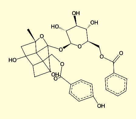 C[C@@]12CC3(O)C4C[C@@]5(O)C(O[C@@H]6O[C@H](COC(=O)c7ccccc7)[C@@H](O)[C@H](O)[C@H]6O)(O1)C32C45COC(=O)c1ccc(O)cc1